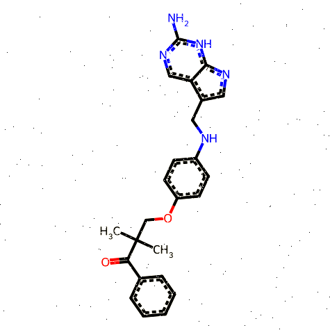 CC(C)(COc1ccc(NCc2cnc3[nH]c(N)ncc2-3)cc1)C(=O)c1ccccc1